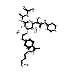 COCCCn1nc(C)c2ccc(C[C@@H](C[C@H](NC(=O)OC(C)OC(=O)C(C)C)[C@@H](O)C[C@H](C(=O)NC3CCOCC3)C(C)C)C(C)C)cc21